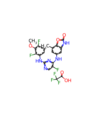 COc1c(F)ccc(Nc2ncc(F)c(Nc3cc(C)c4oc(=O)[nH]c4c3)n2)c1F.O=C(O)C(F)(F)F